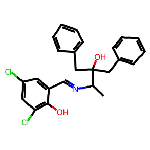 CC(N=Cc1cc(Cl)cc(Cl)c1O)C(O)(Cc1ccccc1)Cc1ccccc1